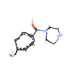 CCC(C)c1ccc(C(=O)N2CCNCC2)cc1